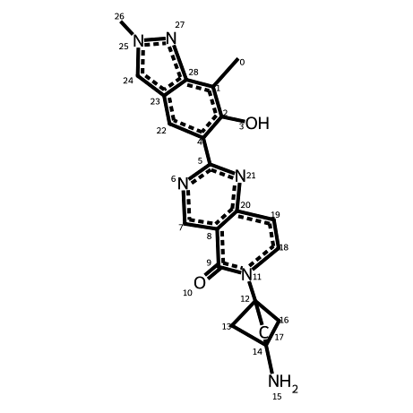 Cc1c(O)c(-c2ncc3c(=O)n(C45CC(N)(C4)C5)ccc3n2)cc2cn(C)nc12